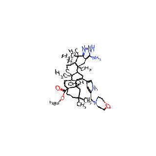 CCCCOC(=O)[C@]12CCC(C)(C)C[C@H]1C1=C(c3c[nH]c(CN4CCOCC4)c3)CC3[C@@]4(C)Cc5c(n[nH]c5N)C(C)(C)[C@@H]4CC[C@@]3(C)[C@]1(C)CC2